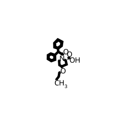 CCCCOC1CCN(C(=O)C(c2ccccc2)c2ccccc2)[C@H](C(=O)O)C1